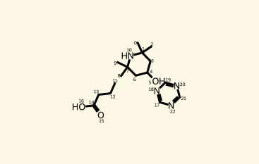 CC1(C)CC(O)CC(C)(C)N1.CCCC(=O)O.c1ncncn1